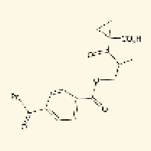 CC(C)C(=O)c1ccc(C(=O)OCC(C)C(=O)C2(C(=O)O)CC2)cc1